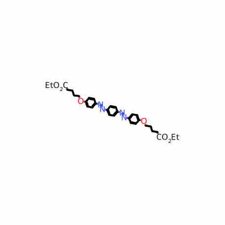 CCOC(=O)CCCCOc1ccc(/N=N/c2ccc(/N=N/c3ccc(OCCCCC(=O)OCC)cc3)cc2)cc1